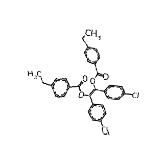 CCc1ccc(C(=O)OC(=C(OC(=O)c2ccc(CC)cc2)c2ccc(Cl)cc2)c2ccc(Cl)cc2)cc1